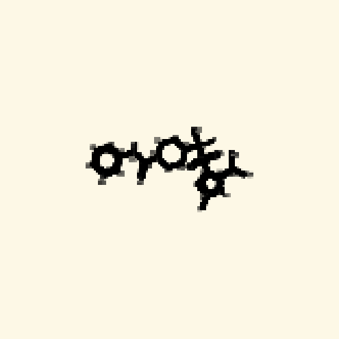 Cn1cc(S(=O)(=O)[C@@](C)(F)C2CCN(C(=O)Nc3cccnc3)CC2)c(C(F)F)n1